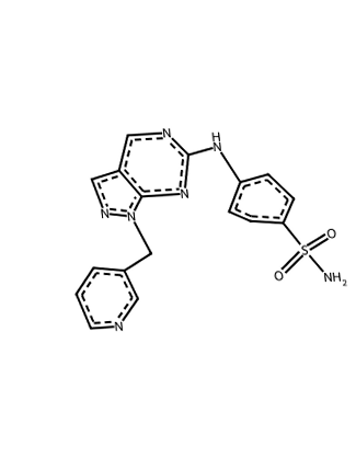 NS(=O)(=O)c1ccc(Nc2ncc3cnn(Cc4cccnc4)c3n2)cc1